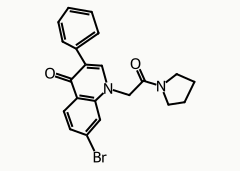 O=C(Cn1cc(-c2ccccc2)c(=O)c2ccc(Br)cc21)N1CCCC1